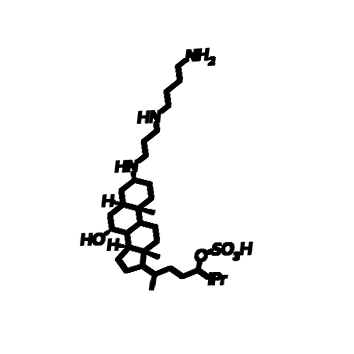 CC(C)C(CCC(C)C1CC[C@H]2C3C(CC[C@]12C)[C@@]1(C)CC[C@H](NCCCNCCCCN)C[C@@H]1C[C@H]3O)OS(=O)(=O)O